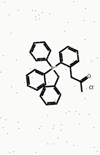 CC(=O)Cc1ccccc1[P+](Cc1ccccc1)(c1ccccc1)c1ccccc1.[Cl-]